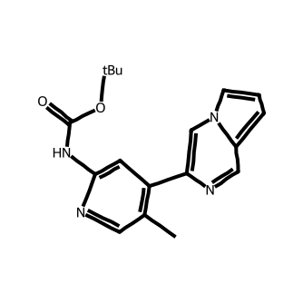 Cc1cnc(NC(=O)OC(C)(C)C)cc1-c1cn2cccc2cn1